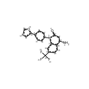 Nc1cc(=O)n(-c2ccc(-c3cnco3)cc2)c2cc(C(F)(F)F)ccc12